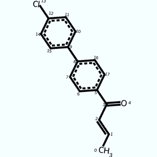 CC=CC(=O)c1ccc(-c2ccc(Cl)cc2)cc1